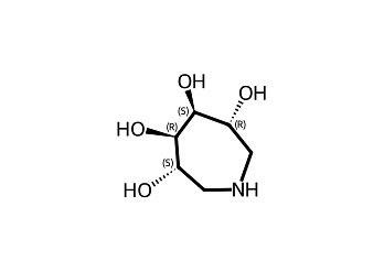 O[C@@H]1[C@H](O)[C@@H](O)CNC[C@H]1O